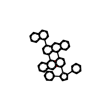 c1ccc(-c2ccc(-c3ccccc3)n2-c2ccc(-c3c4ccccc4cc4c(-c5cccc6ccccc56)ccc(-c5cccc6ccccc56)c34)cc2)cc1